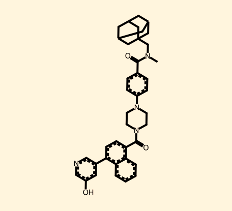 CN(CC12CC3CC(CC(C3)C1)C2)C(=O)c1ccc(N2CCN(C(=O)c3ccc(-c4cncc(O)c4)c4ccccc34)CC2)cc1